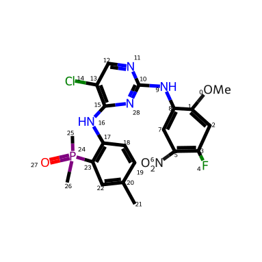 COc1cc(F)c([N+](=O)[O-])cc1Nc1ncc(Cl)c(Nc2ccc(C)cc2P(C)(C)=O)n1